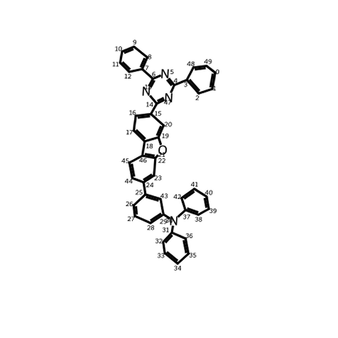 c1ccc(-c2nc(-c3ccccc3)nc(-c3ccc4c(c3)oc3cc(-c5cccc(N(c6ccccc6)c6ccccc6)c5)ccc34)n2)cc1